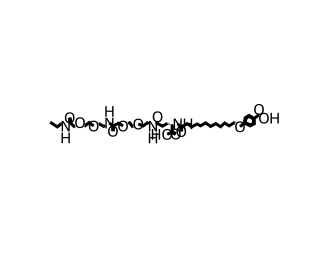 CCCNC(=O)COCCOCCNC(=O)COCCOCCNC(=O)CC[C@H](NC(=O)CCCCCCCCCCCOc1ccc(C(=O)O)cc1)C(=O)O